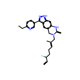 C=CC(F)CC/C=C(\C)CN1Cc2cc3c(-c4ccc(CC)nc4)n[nH]c3cc2NC1=C